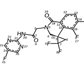 O=C(CN1C[C@]2(CC2(F)F)c2c(ccc(Br)c2F)C1=O)Nc1ncc(F)cn1